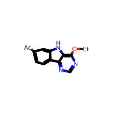 CCOc1ncnc2c1[nH]c1cc(C(C)=O)ccc12